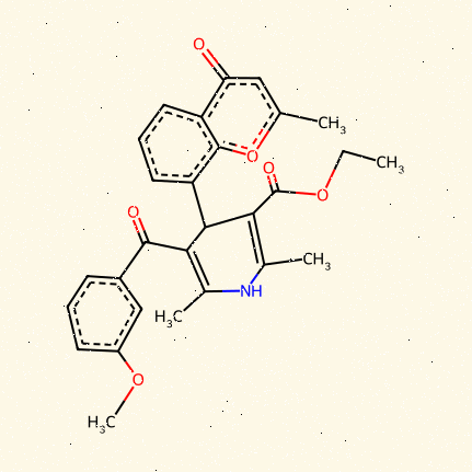 CCOC(=O)C1=C(C)NC(C)=C(C(=O)c2cccc(OC)c2)C1c1cccc2c(=O)cc(C)oc12